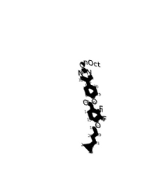 CCCCCCCCOc1ncc(-c2ccc(OC(=O)c3ccc(OCCCCC4CC4)c(F)c3F)cc2)cn1